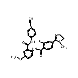 C#Cc1ccc(NC(=O)c2cc(OC)ccc2NC(=O)c2ccc(C3=NCCN3C)cc2F)cc1